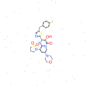 O=c1c(O)c(-c2ncc(Cc3ccc(F)cc3)s2)nc2c(N3CCCS3(=O)=O)cc(N3CCOCC3)cn12